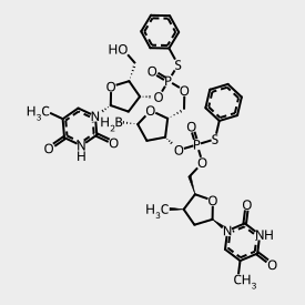 B[C@H]1C[C@@H](OP(=O)(OC[C@H]2O[C@@H](n3cc(C)c(=O)[nH]c3=O)C[C@H]2C)Sc2ccccc2)[C@@H](COP(=O)(O[C@@H]2C[C@H](n3cc(C)c(=O)[nH]c3=O)O[C@@H]2CO)Sc2ccccc2)O1